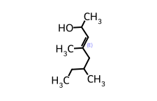 CCC(C)C/C(C)=C/C(C)O